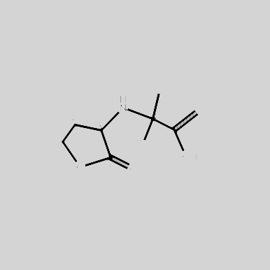 CC(C)(NC1CCOC1=O)C(=O)O